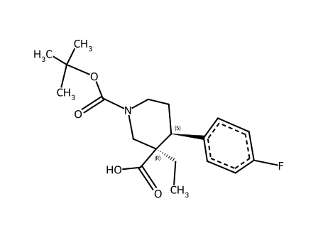 CC[C@]1(C(=O)O)CN(C(=O)OC(C)(C)C)CC[C@H]1c1ccc(F)cc1